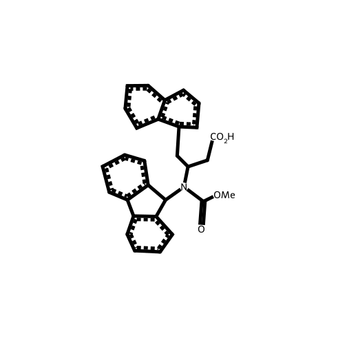 COC(=O)N(C(CC(=O)O)Cc1cccc2ccccc12)C1c2ccccc2-c2ccccc21